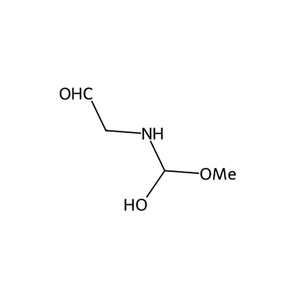 COC(O)NCC=O